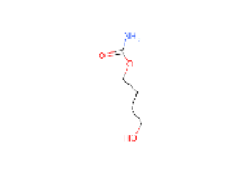 NC(=O)OCCCCO